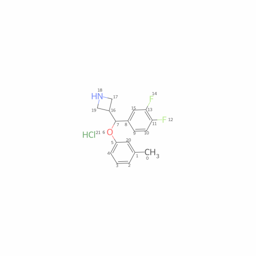 Cc1cccc(OC(c2ccc(F)c(F)c2)C2CNC2)c1.Cl